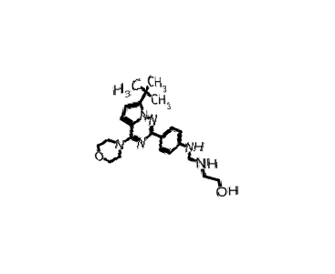 CC(C)(C)c1ccc2c(N3CCOCC3)nc(-c3ccc(NCNCCO)cc3)nn12